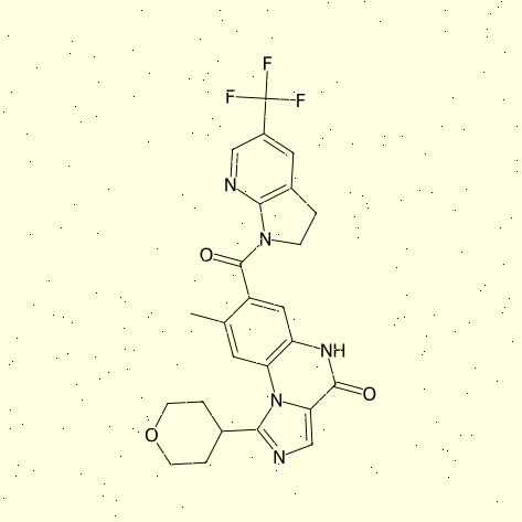 Cc1cc2c(cc1C(=O)N1CCc3cc(C(F)(F)F)cnc31)[nH]c(=O)c1cnc(C3CCOCC3)n12